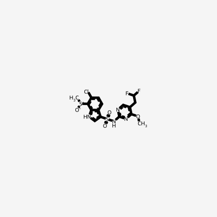 COc1nc(NS(=O)(=O)c2c[nH]c3c([S+](C)[O-])c(Cl)ccc23)ncc1CC(F)F